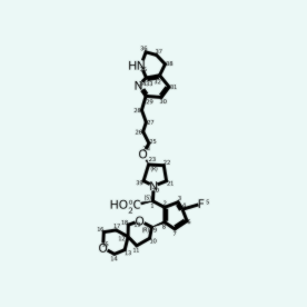 O=C(O)[C@H](c1cc(F)ccc1[C@H]1CCC2(CCOCC2)CO1)N1CC[C@@H](OCCCCc2ccc3c(n2)NCCC3)C1